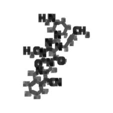 CC#CCn1c(N2CCC[C@@H](N)C2)nc2c1c(=O)n(Cc1ncc3ccccc3c1C#N)c(=O)n2C